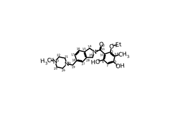 CCOc1c(C)c(O)cc(O)c1C(=O)N1Cc2ccc(CN3CCN(C)CC3)cc2C1